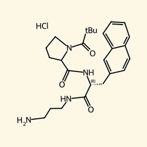 CC(C)(C)C(=O)N1CCCC1C(=O)N[C@H](Cc1ccc2ccccc2c1)C(=O)NCCCN.Cl